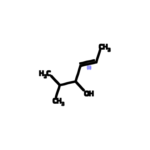 C/C=C/C(O)C(C)C